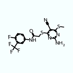 CSc1nc(N)nc(SCC(=O)Nc2ccc(F)c(C(F)(F)F)c2)c1C#N